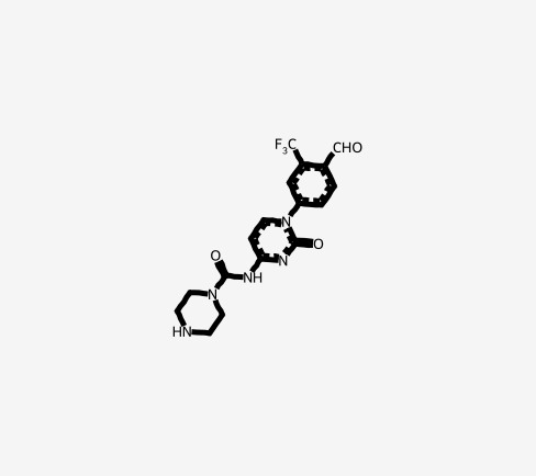 O=Cc1ccc(-n2ccc(NC(=O)N3CCNCC3)nc2=O)cc1C(F)(F)F